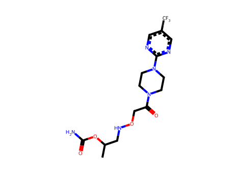 CC(CNOCC(=O)N1CCN(c2ncc(C(F)(F)F)cn2)CC1)OC(N)=O